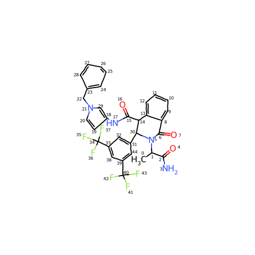 CC(C(N)=O)N1C(=O)c2ccccc2C(C(=O)Nc2ccn(Cc3ccccc3)c2)C1c1cc(C(F)(F)F)cc(C(F)(F)F)c1